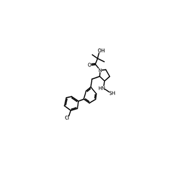 CC(C)(O)C(=O)N1CCC(NS)C1Cc1cccc(-c2cccc(Cl)c2)c1